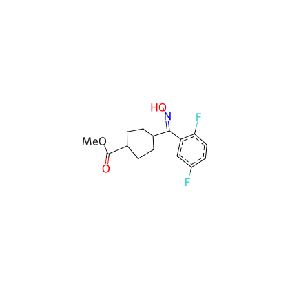 COC(=O)C1CCC(/C(=N\O)c2cc(F)ccc2F)CC1